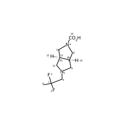 CC(F)(F)CN1C[C@@H]2CN(C(=O)O)C[C@@H]2C1